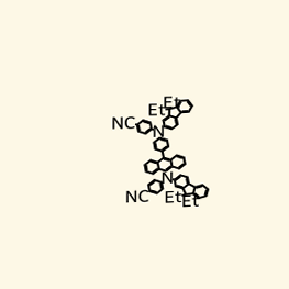 CCC1(CC)c2ccccc2-c2ccc(N(c3ccc(C#N)cc3)c3ccc(-c4c5ccccc5c(N(c5ccc(C#N)cc5)c5ccc6c(c5)C(CC)(CC)c5ccccc5-6)c5ccccc45)cc3)cc21